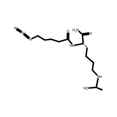 CC(O)NCCCC[C@H](NC(=O)CCCCN=[N+]=[N-])C(N)=O